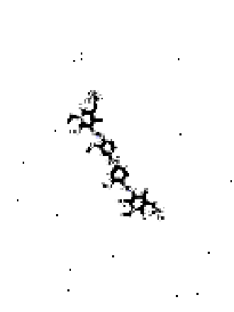 CCn1c(O)c(/N=N/c2ccc(S(=O)(=O)c3ccc(/N=N/c4c(C)c(CS(=O)(=O)O)c(=O)n(CC)c4O)c(OC)c3)cc2OC)c(C)c(CS(=O)(=O)O)c1=O